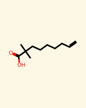 C=CCCCCCC(C)(C)C(=O)O